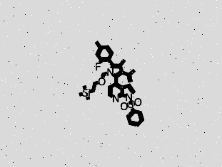 C=C(C)c1c(C)c(-c2ccc(C)cc2F)n(COCC[Si](C)(C)C)c1-c1ccnc2c1ccn2S(=O)(=O)c1ccccc1